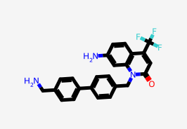 NCc1ccc(-c2ccc(Cn3c(=O)cc(C(F)(F)F)c4ccc(N)cc43)cc2)cc1